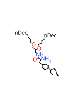 C=C/C=C\C(=C/C)c1ccc(C[C@@H](N)C(=O)NCC(COCCCCCCCCCCCCCC)OCCCCCCCCCCCCCC)cc1